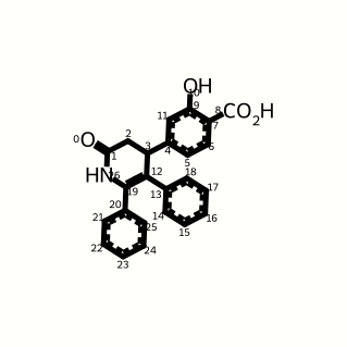 O=C1CC(c2ccc(C(=O)O)c(O)c2)C(c2ccccc2)=C(c2ccccc2)N1